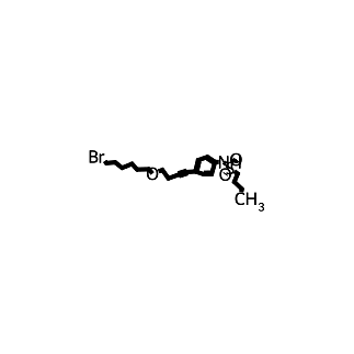 CCCCS(=O)(=O)Nc1ccc(C#CCCOCCCCCCBr)cc1